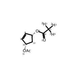 [2H]C([2H])([2H])C(=O)O[C@H]1C=C[C@@H](OC(C)=O)C1